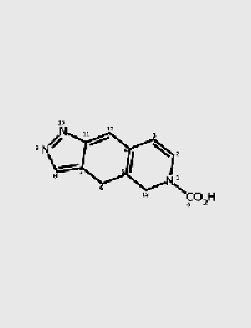 O=C(O)N1C=CC2=C(CC3=CN=NC3=C2)C1